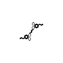 C=CCc1ccc(OCC=CCOc2ccc(CC=C)cc2OC)c(OC)c1